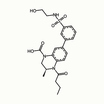 CCCC(=O)N1c2ccc(-c3cccc(S(=O)(=O)NCCO)c3)cc2N(C(=O)O)C[C@@H]1C